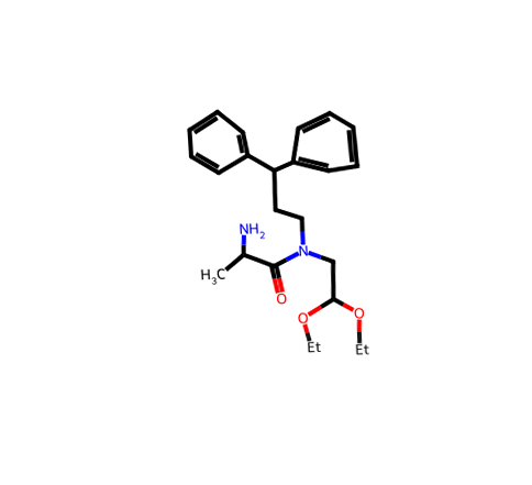 CCOC(CN(CCC(c1ccccc1)c1ccccc1)C(=O)C(C)N)OCC